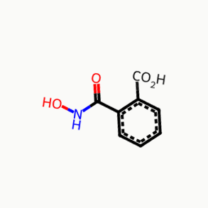 O=C(O)c1ccccc1C(=O)NO